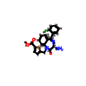 COC(=O)c1ccc(CN2C(=O)[C@@H](N)N=C(c3ccccc3F)c3ccccc32)s1